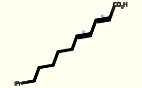 CC(C)CCCCC/C=C/C=C/C(=O)O